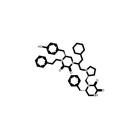 O=C1NC[C@H](Cc2ccccc2)N(C[C@@H]2CCCN2CC(CC2CCCCC2)N2C[C@H](Cc3ccc(O)cc3)N(CCc3ccccc3)C(=O)C2=O)C1=O